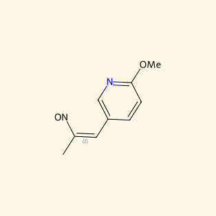 COc1ccc(/C=C(/C)N=O)cn1